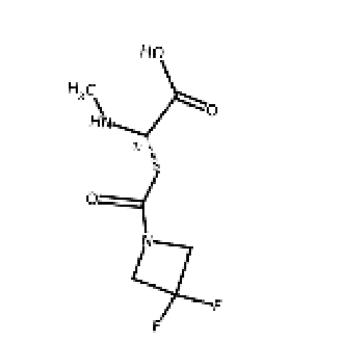 CN[C@@H](CC(=O)N1CC(F)(F)C1)C(=O)O